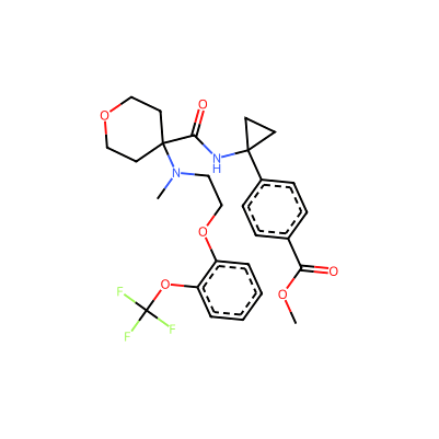 COC(=O)c1ccc(C2(NC(=O)C3(N(C)CCOc4ccccc4OC(F)(F)F)CCOCC3)CC2)cc1